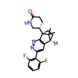 CC1(C)[C@H]2CC[C@]1([C@H]1CCC(=O)NC1)c1nnc(-c3c(F)cccc3F)cc12